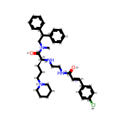 CN(CC(c1ccccc1)c1ccccc1)C(=O)[C@H](CCCN1CCCCC1)NCCNC(=O)/C=C/c1ccc(Cl)cc1